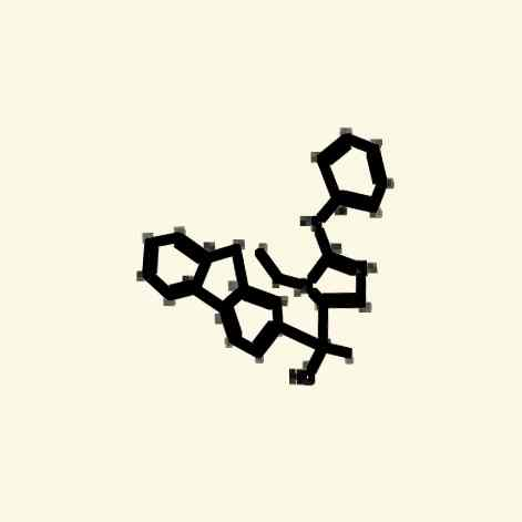 CCn1c(C(C)(O)c2ccc3c(c2)Cc2ccccc2-3)cnc1Sc1ccccc1